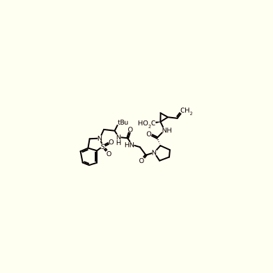 C=CC1C[C@]1(NC(=O)[C@@H]1CCCN1C(=O)CNC(=O)NC(CN1Cc2ccccc2S1(=O)=O)C(C)(C)C)C(=O)O